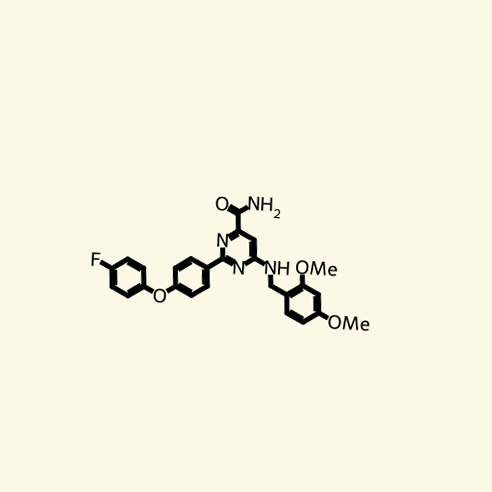 COc1ccc(CNc2cc(C(N)=O)nc(-c3ccc(Oc4ccc(F)cc4)cc3)n2)c(OC)c1